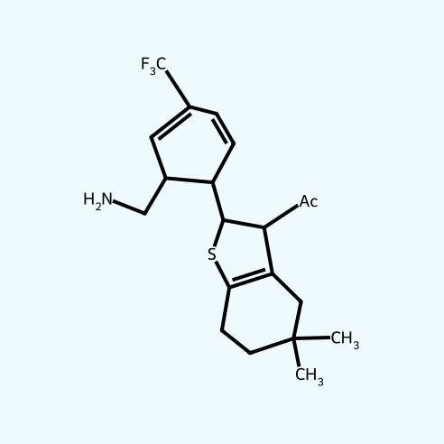 CC(=O)C1C2=C(CCC(C)(C)C2)SC1C1C=CC(C(F)(F)F)=CC1CN